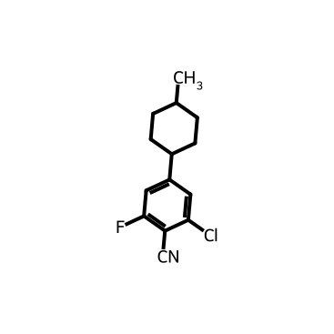 CC1CCC(c2cc(F)c(C#N)c(Cl)c2)CC1